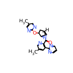 Cc1cnc(OC2C[C@H]3CC2N(C(=O)c2ncc(C)cc2-c2ncccn2)C3)nc1